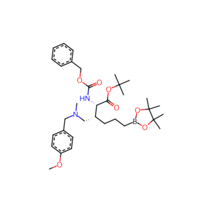 COc1ccc(CN(C)C[C@@H](CCCB2OC(C)(C)C(C)(C)O2)[C@H](NC(=O)OCc2ccccc2)C(=O)OC(C)(C)C)cc1